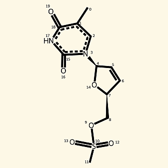 Cc1cn([C@H]2C=C[C@@H](COS(C)(=O)=O)O2)c(=O)[nH]c1=O